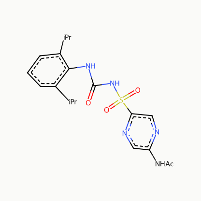 CC(=O)Nc1cnc(S(=O)(=O)NC(=O)Nc2c(C(C)C)cccc2C(C)C)cn1